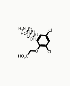 CCO.CCO.CCO.N.O=C(O)COc1ccc(Cl)cc1Cl